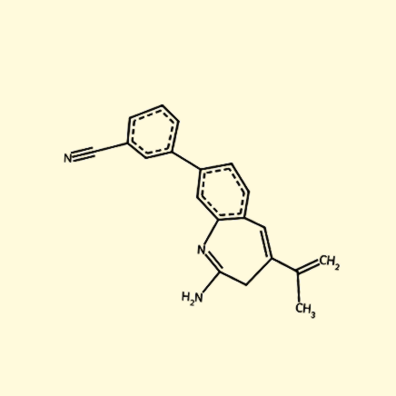 C=C(C)C1=Cc2ccc(-c3cccc(C#N)c3)cc2N=C(N)C1